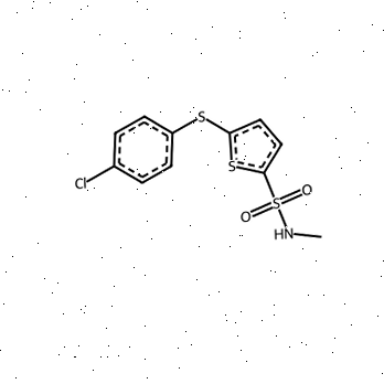 CNS(=O)(=O)c1ccc(Sc2ccc(Cl)cc2)s1